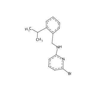 CC(C)c1ccccc1CNc1cccc(Br)n1